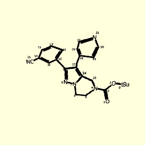 CC(C)(C)OC(=O)N1CCn2nc(-c3cccc(C#N)c3)c(-c3ccncc3)c2C1